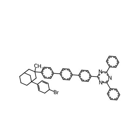 CC1(c2ccc(-c3ccc(-c4ccc(-c5nc(-c6ccccc6)nc(-c6ccccc6)n5)cc4)cc3)cc2)CC2CCCC(C3=CCC(Br)C=C3)(C2)C1